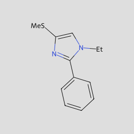 CCn1cc(SC)nc1-c1ccccc1